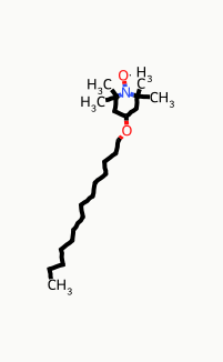 CCCCCCCCCCCCCCOC1CC(C)(C)N([O])C(C)(C)C1